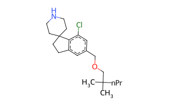 CCCC(C)(C)COCc1cc(Cl)c2c(c1)CCC21CCNCC1